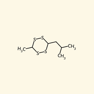 CC(C)CC1SSC(C)SS1